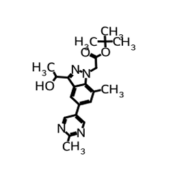 Cc1ncc(-c2cc(C)c3c(c2)c(C(C)O)nn3CC(=O)OC(C)(C)C)cn1